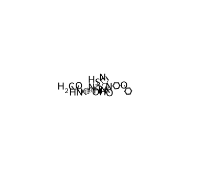 C=CC(=O)N[C@@H]1CC[C@H](NC(O)C2=C3NC(=O)N(c4ccc(Oc5ccccc5)cc4)C4C=CN=C(S2)C34)C1